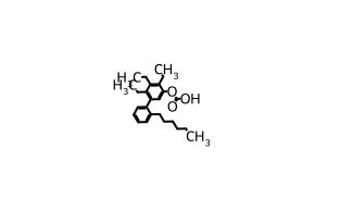 CCCCCCc1ccccc1-c1cc(OC(=O)O)c(CC)c(CC)c1CC